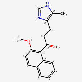 COc1ccc2ccccc2c1C(=O)CCc1nc[nH]c1C